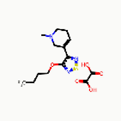 CN1CCC=C(c2nsnc2OCCCC(F)(F)F)C1.O=C(O)C(=O)O